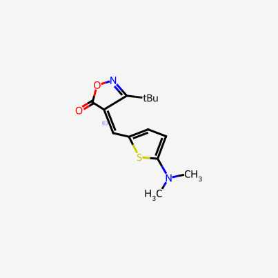 CN(C)c1ccc(/C=C2/C(=O)ON=C2C(C)(C)C)s1